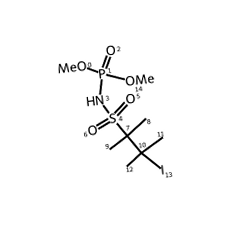 COP(=O)(NS(=O)(=O)C(C)(C)C(C)(C)I)OC